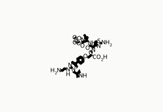 CC1(C)[C@H](NC(=O)/C(=N\O[C@@H](COc2ccc(-c3cnc(NCCN)[n+](CC4CNC4)c3)cc2)C(=O)O)c2csc(N)n2)C(=O)N1OS(=O)(=O)[O-]